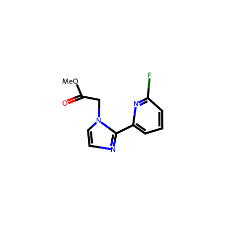 COC(=O)Cn1ccnc1-c1cccc(F)n1